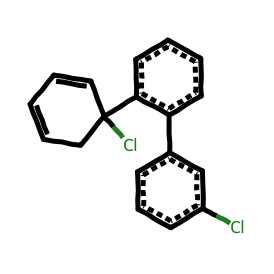 Clc1cccc(-c2ccccc2C2(Cl)C=CC=CC2)c1